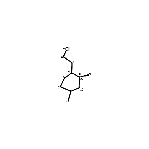 CC1CCC(CCCl)[C@@H](C)C1